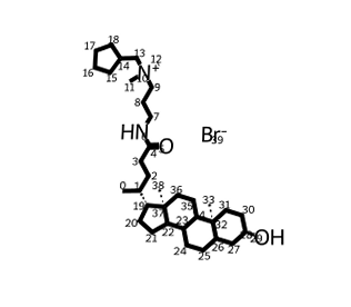 CC(CCC(=O)NCCC[N+](C)(C)CC1CCCC1)[C@H]1CCC2C3CCC4C[C@H](O)CC[C@]4(C)C3CC[C@@]21C.[Br-]